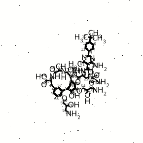 Cc1nc(-c2ccc(C(C)(C)C)cc2)nc(N)c1C(=O)NC(CNS(N)(=O)=O)C(=O)N(C)C1C(=O)NC(C)C(=O)NC(C(=O)O)Cc2ccc(OCC(O)CN)c(c2)-c2cc1cc(OCC(O)CN)c2O